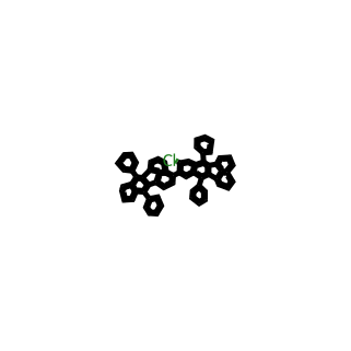 Clc1cc2c(-c3ccccc3)c3c(c(-c4ccccc4)c2cc1-c1ccc2c4c(cccc14)-c1c-2c(-c2ccccc2)c2ccccc2c1-c1ccccc1)-c1cccc2cccc-3c12